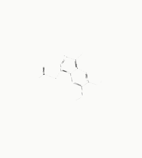 COc1cc2c(CC(=O)O)cnc(Cl)c2cc1OC